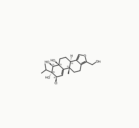 CC(C)[C@]1(O)[C@H](Cl)C=C2[C@@]3(C)CCc4c(coc4CO)[C@@H]3CC[C@@]2(O)[C@@H]1O